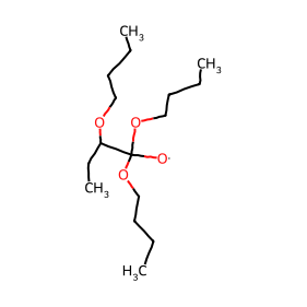 CCCCOC(CC)C([O])(OCCCC)OCCCC